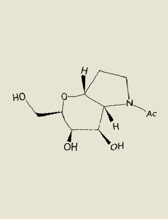 CC(=O)N1CC[C@H]2O[C@H](CO)[C@H](O)[C@H](O)[C@H]21